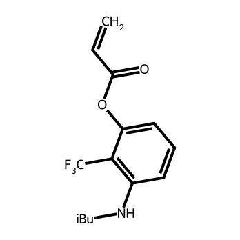 C=CC(=O)Oc1cccc(NC(C)CC)c1C(F)(F)F